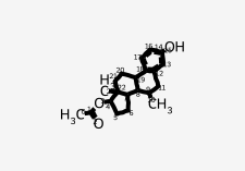 CC(=O)OC1CCC2C3C(C)Cc4cc(O)ccc4C3CCC12C